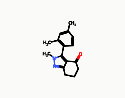 Cc1ccc(-c2c3c(nn2C)CCCC3=O)c(C)c1